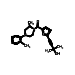 Cc1ccccc1N1CCN(C(=O)c2ccc(C#CC(C)(C)O)o2)C(C)C1